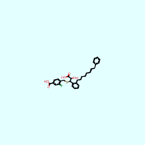 O=C(O)c1ccc(CSC(c2ccccc2CCCCCCCCc2ccccc2)C(O)C(=O)O)c(F)c1